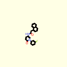 O=C(Cc1cccc2ccccc12)Nc1ccc(=O)n(-c2cccc(F)c2)c1